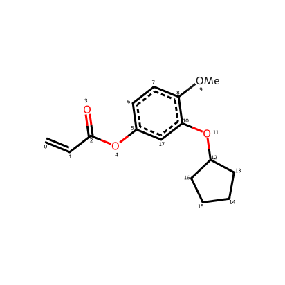 C=CC(=O)Oc1ccc(OC)c(OC2CCCC2)c1